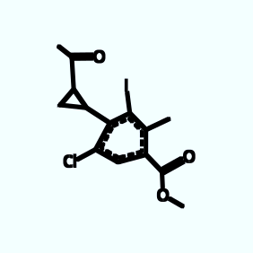 COC(=O)c1cc(Cl)c(C2CC2C(C)=O)c(I)c1C